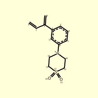 C=CC(=C)c1cccc(N2CCS(=O)(=O)CC2)c1